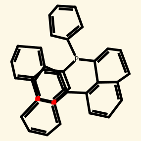 c1ccc(P(c2ccccc2)c2cccc3cccc(-c4cc5ccccc5c5ccccc45)c23)cc1